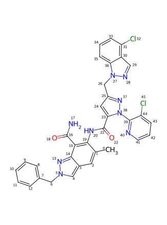 Cc1cc2cn(Cc3ccccc3)nc2c(C(N)=O)c1NC(=O)c1cc(Cn2ncc3c(Cl)cccc32)nn1-c1ncccc1Cl